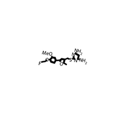 COc1cc(-c2cc(CSc3nc(N)cc(N)n3)c(C)o2)ccc1OCCF